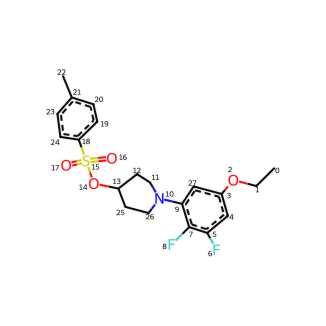 CCOc1cc(F)c(F)c(N2CCC(OS(=O)(=O)c3ccc(C)cc3)CC2)c1